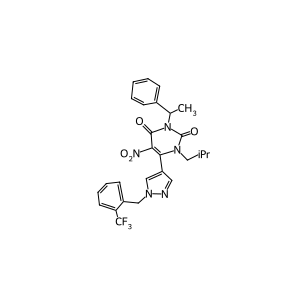 CC(C)Cn1c(-c2cnn(Cc3ccccc3C(F)(F)F)c2)c([N+](=O)[O-])c(=O)n(C(C)c2ccccc2)c1=O